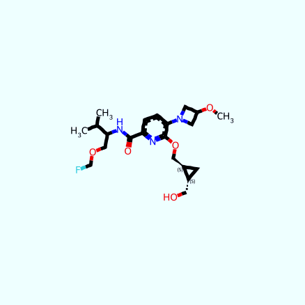 COC1CN(c2ccc(C(=O)NC(COCF)C(C)C)nc2OC[C@H]2C[C@@H]2CO)C1